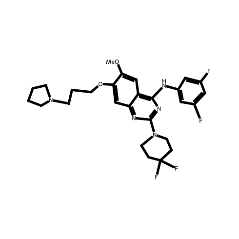 COc1cc2c(Nc3cc(F)cc(F)c3)nc(N3CCC(F)(F)CC3)nc2cc1OCCCN1CCCC1